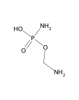 NCOP(N)(=O)O